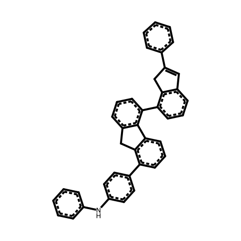 C1=C(c2ccccc2)Cc2c1cccc2-c1cccc2c1-c1cccc(-c3ccc(Nc4ccccc4)cc3)c1C2